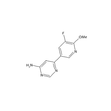 COc1ncc(-c2cc(N)ncn2)cc1F